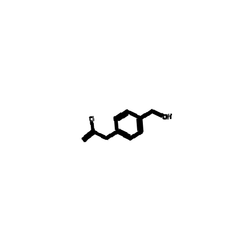 C=C(Cl)Cc1ccc(CO)cc1